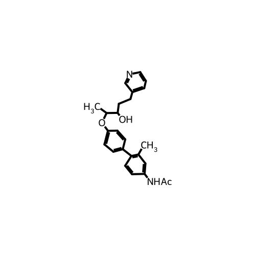 CC(=O)Nc1ccc(-c2ccc(OC(C)C(O)CCc3cccnc3)cc2)c(C)c1